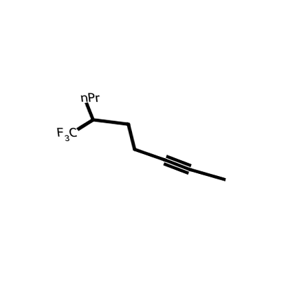 CC#CCCC(CCC)C(F)(F)F